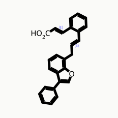 O=C(O)/C=C/c1ccccc1/C=C/Cc1cccc2c(-c3ccccc3)coc12